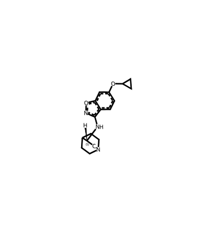 c1cc2c(N[C@@H]3CN4CCC3CC4)noc2cc1OC1CC1